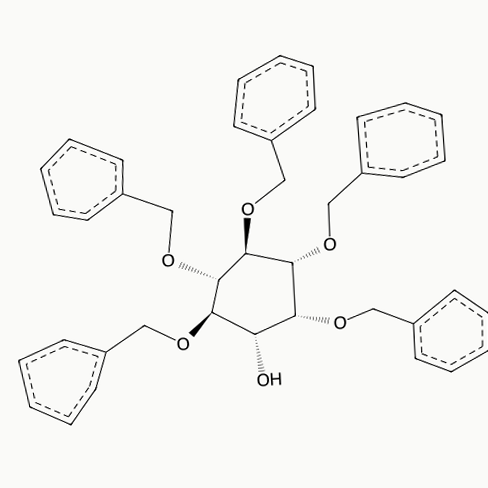 O[C@@H]1[C@@H](OCc2ccccc2)[C@H](OCc2ccccc2)[C@@H](OCc2ccccc2)[C@H](OCc2ccccc2)[C@@H]1OCc1ccccc1